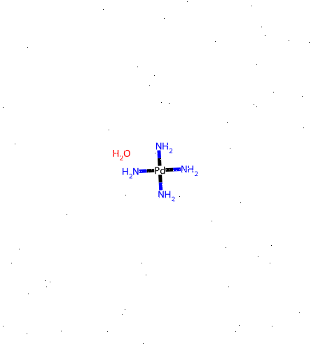 O.[NH2][Pd]([NH2])([NH2])[NH2]